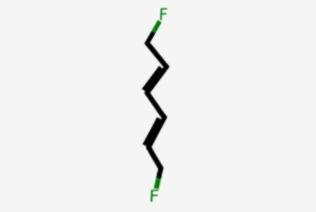 FCC=CC=CCF